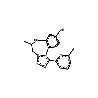 Cc1cccc(-c2nnc3n2-c2ccc(O)cc2NC(C)C3)n1